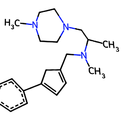 CC(CN1CCN(C)CC1)N(C)CC1=CC=C(c2ccccc2)C1